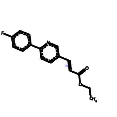 CCOC(=O)/C=C/c1ccc(-c2ccc(F)cc2)nc1